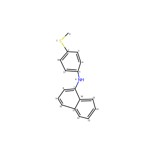 CSc1ccc(Nc2cccc3ccccc23)cc1